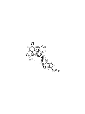 CN[C@H]1CCN(C2=N/C(=C/C(=N)[C@@H]3CCCCN3C(=O)c3cc(Cl)ccc3N[S+](C)[O-])NC=C2C)C1